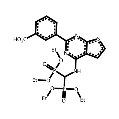 CCOP(=O)(OCC)C(Nc1nc(-c2cccc(C(=O)O)c2)nc2sccc12)P(=O)(OCC)OCC